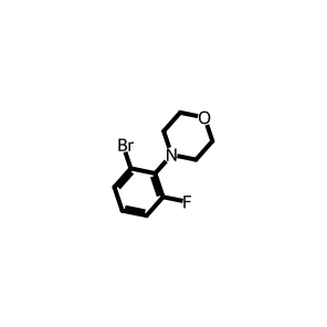 Fc1cccc(Br)c1N1CCOCC1